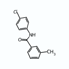 Cc1cccc(C(=O)Nc2ccc(Cl)cc2)c1